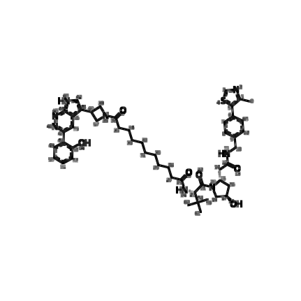 Cc1ncsc1-c1ccc(CNC(=O)C[C@@H]2C[C@@H](O)CN2C(=O)[C@@H](NC(=O)CCCCCCCCCC(=O)N2CC(c3c[nH]c4nnc(-c5ccccc5O)cc34)C2)C(C)(C)C)cc1